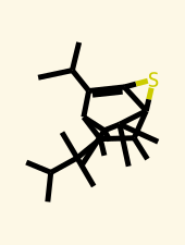 CC(C)C1=C2SC23C(C)C(C)(C(C)(C)C(C)C)C1C(C)(C)C3(C)C